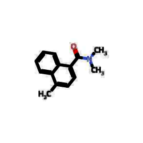 Cc1ccc(C(=O)N(C)C)c2ccccc12